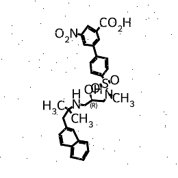 CN(C[C@H](O)CNC(C)(C)Cc1ccc2ccccc2c1)S(=O)(=O)c1ccc(-c2cc(C(=O)O)cc([N+](=O)[O-])c2)cc1